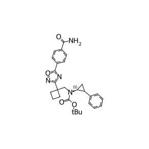 CC(C)(C)OC(=O)N(CC1(c2noc(-c3ccc(C(N)=O)cc3)n2)CCC1)[C@H]1CC1c1ccccc1